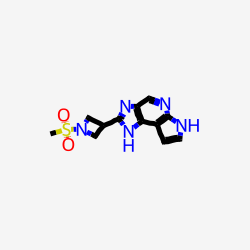 CS(=O)(=O)N1CC(c2nc3cnc4[nH]ccc4c3[nH]2)C1